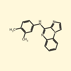 Cc1ccc(Nc2nc3ccccc3n3ccnc23)cc1C